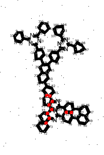 c1ccc(-c2nc(-c3ccccc3)nc(-c3ccc(-c4cc5ccc(-c6ccc(-c7nc(-c8ccccc8)nc(-c8ccc(-c9cccc%10cccc(-c%11ccc(-c%12nc(-c%13ccccc%13)nc(-c%13ccccc%13)n%12)cc%11)c9%10)cc8)n7)cc6)cc5cc4-c4ccc(-c5nc(-c6ccccc6)nc(-c6ccccc6)n5)cc4)cc3)n2)cc1